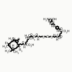 C=Cc1c(C)c2cc3nc(c4c5[nH]c(cc6nc(cc1[nH]2)C(C)=C6CC)c(C)c5C(=O)C4)C(CCC(=O)NC(CCCCNC(C)(C)C(=O)COCC(=O)NCCCOCCOCCOCCCNC(C)(CC)C(=O)CC[C@H](NC(=O)c1ccc(NCc2cnc4nc(N)nc(O)c4n2)cc1)C(=O)O)C(=O)O)[C@@H]3C